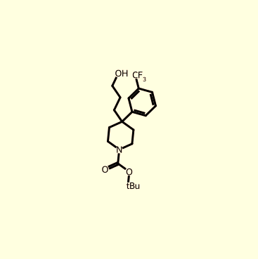 CC(C)(C)OC(=O)N1CCC(CCCO)(c2cccc(C(F)(F)F)c2)CC1